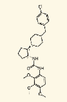 COc1ccc(NC(=O)N[C@@H]2CCC[C@H]2N2CCC(Cc3ccc(Cl)cc3)CC2)c(OC)c1OC